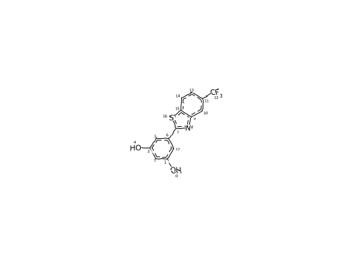 Oc1cc(O)cc(-c2nc3cc(C(F)(F)F)ccc3s2)c1